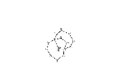 C1CCC23CCCCCC(CC1)(CC2)N3